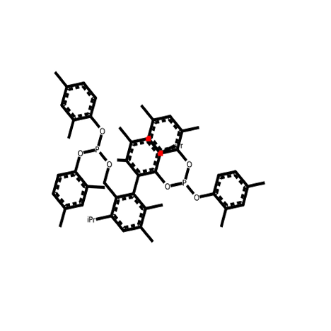 Cc1ccc(OP(OCc2c(C(C)C)cc(C)c(C)c2-c2c(C)c(C)cc(C(C)C)c2OP(Oc2ccc(C)cc2C)Oc2ccc(C)cc2C)Oc2ccc(C)cc2C)c(C)c1